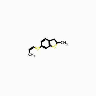 C/C=C\Sc1ccc2c(c1)SC(C)C2